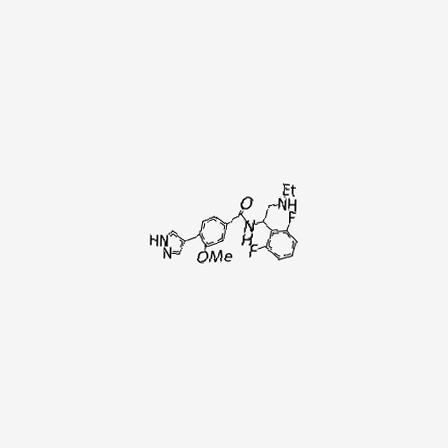 CCNCC(NC(=O)c1ccc(-c2cn[nH]c2)c(OC)c1)c1c(F)cccc1F